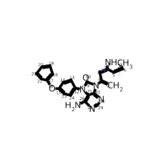 C=C(/C=C(N)\C=C/C)n1c(=O)n(-c2ccc(Oc3ccccc3)cc2)c2c(N)ncnc21